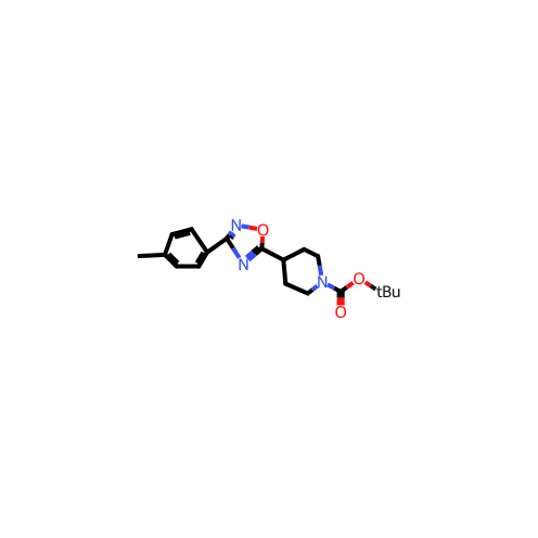 Cc1ccc(-c2noc(C3CCN(C(=O)OC(C)(C)C)CC3)n2)cc1